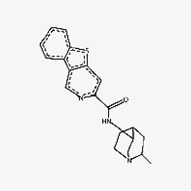 CC1CC2CCN1CC2NC(=O)c1cc2sc3ccccc3c2cn1